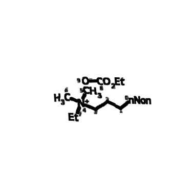 CCCCCCCCCCCC[N+](C)(C)CC.CCOC(=O)[O-]